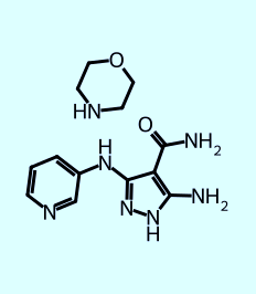 C1COCCN1.NC(=O)c1c(Nc2cccnc2)n[nH]c1N